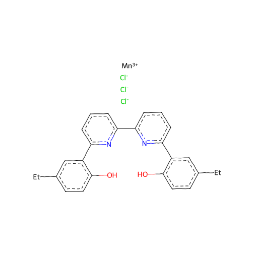 CCc1ccc(O)c(-c2cccc(-c3cccc(-c4cc(CC)ccc4O)n3)n2)c1.[Cl-].[Cl-].[Cl-].[Mn+3]